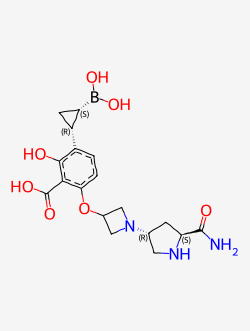 NC(=O)[C@@H]1C[C@@H](N2CC(Oc3ccc([C@@H]4C[C@@H]4B(O)O)c(O)c3C(=O)O)C2)CN1